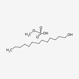 CCCCCCCCCCCCCO.COS(=O)(=O)O